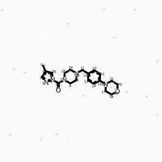 Cc1cnn(C(=O)N2CCN(Cc3ccc(N4CCOCC4)cc3)CC2)c1